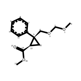 COCOC[C@@]1(c2ccccc2)C[C@H]1C(=O)OC